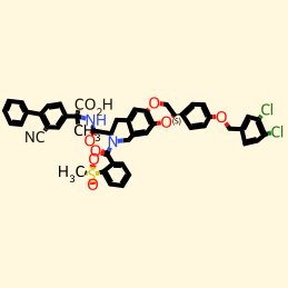 CC(NC(=O)C1Cc2cc3c(cc2CN1C(=O)c1ccccc1S(C)(=O)=O)O[C@@H](c1ccc(OCc2ccc(Cl)c(Cl)c2)cc1)CO3)(C(=O)O)c1ccc(-c2ccccc2)c(C#N)c1